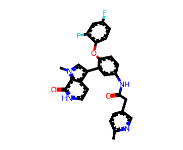 Cc1ccc(CC(=O)Nc2ccc(Oc3ccc(F)cc3F)c(-c3cn(C)c4c(=O)[nH]ccc34)c2)cn1